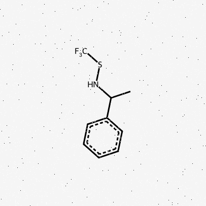 CC(NSC(F)(F)F)c1ccccc1